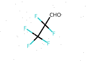 O=[C]C(F)(F)C(F)(F)F